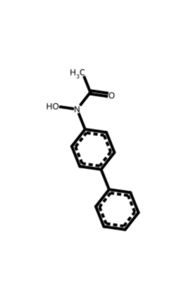 CC(=O)N(O)c1ccc(-c2ccccc2)cc1